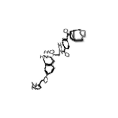 Cn1nccc1COc1ccc2c(c1)CN[C@H](C(O)CNC(=O)c1ccc(C(=O)N3C4CCC3COC4)cc1)C2